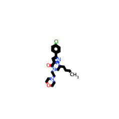 CCCCC1CN(CCN2CCOCC2)C(=O)c2cc(-c3ccc(Cl)cc3)nn21